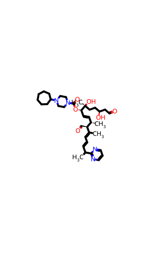 C/C(=C\C=C\C(C)c1ncccn1)[C@@H](C=O)[C@@H](C)/C=C/[C@H](OC(=O)N1CCN(C2CCCCCC2)CC1)[C@@](C)(O)CC[C@H](O)CC=O